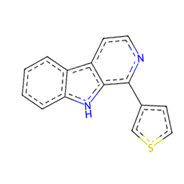 c1ccc2c(c1)[nH]c1c(-c3ccsc3)nccc12